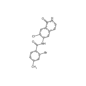 Cc1ccc(C(=O)Nc2cc3cc[nH]c(=O)c3cc2Cl)c(Br)c1